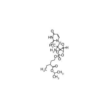 CCC(CCO[P@@]1(=O)OC2[C@H]3O[C@@H](n4ccc(=O)[nH]c4=O)[C@](C)(N)[C@@]23O1)C(=O)OC(C)C